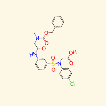 CN(CC(=O)Nc1cccc(S(=O)(=O)N(CC(=O)O)c2ccc(Cl)cc2)c1)C(=O)OCc1ccccc1